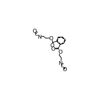 O=C=NCCOC(=O)c1ccccc1C(=O)OCCN=C=O